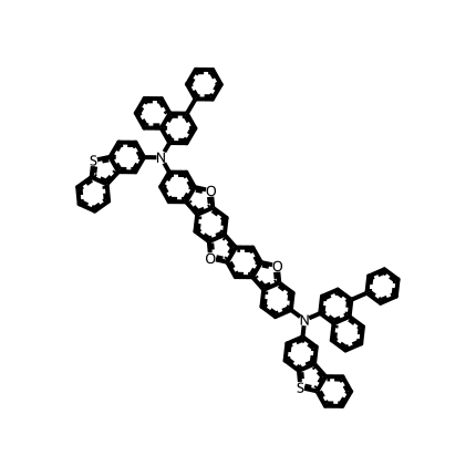 c1ccc(-c2ccc(N(c3ccc4c(c3)oc3cc5c(cc34)oc3cc4c(cc35)oc3cc(N(c5ccc6sc7ccccc7c6c5)c5ccc(-c6ccccc6)c6ccccc56)ccc34)c3ccc4sc5ccccc5c4c3)c3ccccc23)cc1